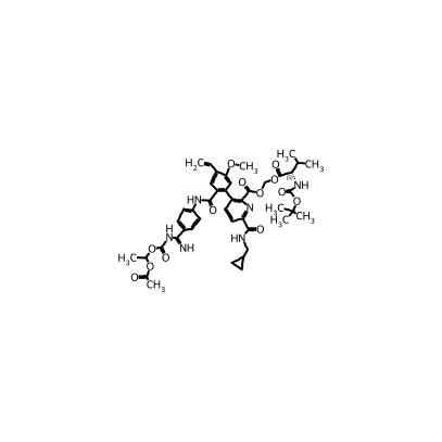 C=Cc1cc(C(=O)Nc2ccc(C(=N)NC(=O)OC(C)OC(C)=O)cc2)c(-c2ccc(C(=O)NCC3CC3)nc2C(=O)OCOC(=O)[C@@H](NC(=O)OC(C)(C)C)C(C)C)cc1OC